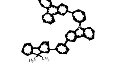 CC1(C)c2ccccc2-c2ccc(-c3cccc(-c4ccc5c(c4)c4ccccc4n5-c4cccc(-c5ccc6c7ccccc7c7ccccc7c6c5)c4)c3)cc21